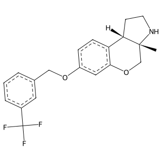 C[C@@]12COc3cc(OCc4cccc(C(F)(F)F)c4)ccc3[C@@H]1CCN2